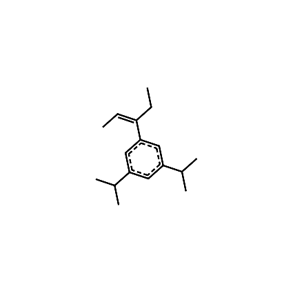 C/C=C(/CC)c1cc(C(C)C)cc(C(C)C)c1